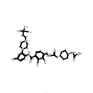 O=C(C[C@H]1CC[C@H](NC(=O)O)CC1)NCc1ccc(C(=O)Nc2ccc(Cl)cc2N2CCN(CCC(F)(F)F)CC2)c(F)c1F